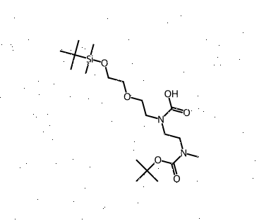 CN(CCN(CCOCCO[Si](C)(C)C(C)(C)C)C(=O)O)C(=O)OC(C)(C)C